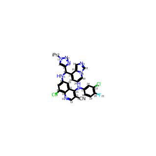 CC(C)n1cc(C(Nc2cc(Cl)c3ncc(C#N)c(Nc4ccc(F)c(Cl)c4)c3c2)c2cccn3cncc23)nn1